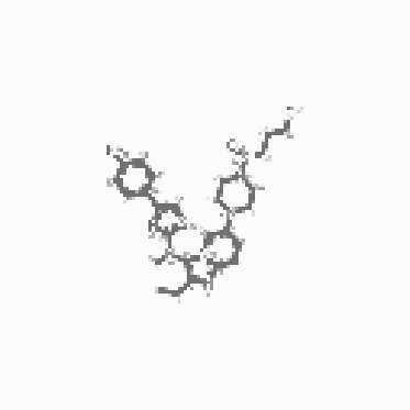 CCc1nc2ccc(N3CCN([S+]([O-])CCCCl)CC3)cn2c1N(C)c1nc(-c2ccc(F)cc2)cs1